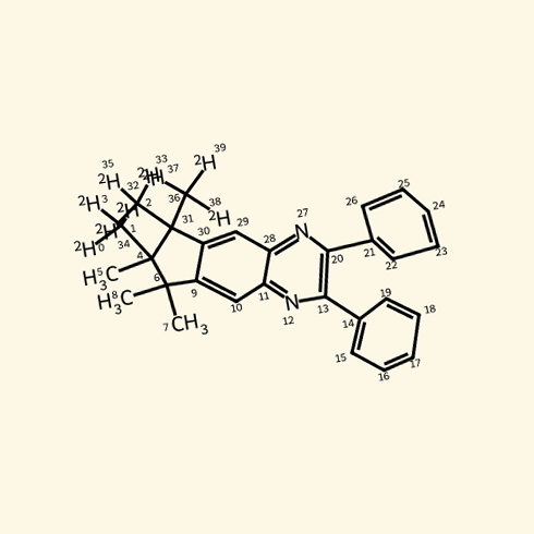 [2H]C([2H])([2H])C1(C)C(C)(C)c2cc3nc(-c4ccccc4)c(-c4ccccc4)nc3cc2C1(C([2H])([2H])[2H])C([2H])([2H])[2H]